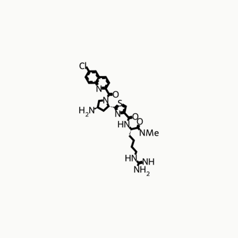 CNC(=O)[C@H](CCCCNC(=N)N)NC(=O)c1csc([C@@H]2C[C@@H](N)CN2C(=O)c2ccc3cc(Cl)ccc3n2)n1